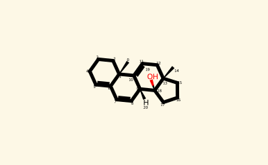 C[C@]12CCCC=C1C=C[C@@H]1C2=CC[C@]2(C)CCC[C@]12O